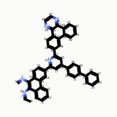 C=Nc1c(/N=C\C)c2ccccc2c2cc(-c3cc(-c4ccc(-c5ccccc5)cc4)cc(-c4ccc5c(c4)c4ccccc4c4nccnc54)n3)ccc12